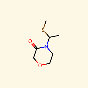 CSC(C)N1CCOCC1=O